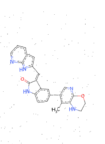 Cc1c(-c2ccc3c(c2)/C(=C/c2cc4cccnc4[nH]2)C(=O)N3)cnc2c1NCCO2